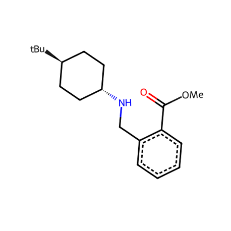 COC(=O)c1ccccc1CN[C@H]1CC[C@H](C(C)(C)C)CC1